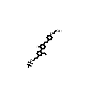 CCc1cc(CCCO[Si](C)(C)C(C)(C)C)ccc1-c1ccc(CCc2ccc(OCCO)cc2)cc1F